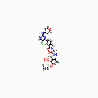 C[C@H](C(=O)N[C@H](CO)C1=CC(OCCN(C)C)CC(F)=C1)N1Cc2ccc(-c3nc(NC4CCOCC4)ncc3Cl)cc2C1=O